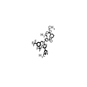 CCOC(=O)C1CCCN(C(=O)N2C[C@@H](N(Cc3cc(C(F)(F)F)cc(C(F)(F)F)c3)c3ncc(-c4cnn(C)c4)cn3)C[C@H]2CC)C1